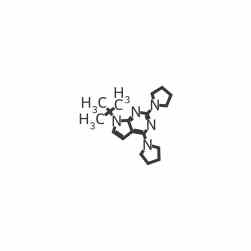 CC(C)(C)n1ccc2c(N3CCCC3)nc(N3CCCC3)nc21